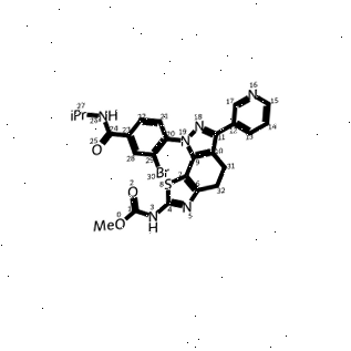 COC(=O)Nc1nc2c(s1)-c1c(c(-c3cccnc3)nn1-c1ccc(C(=O)NC(C)C)cc1Br)CC2